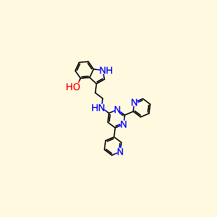 Oc1cccc2[nH]cc(CCNc3cc(-c4cccnc4)nc(-c4ccccn4)n3)c12